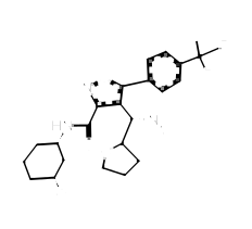 CN[C@@H](c1c(C(=O)N[C@@H]2CCC[C@H](O)C2)noc1-c1ccc(C(F)(F)F)cc1)C1CCCO1